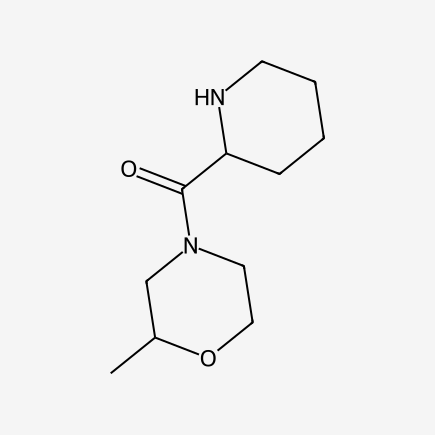 CC1CN(C(=O)C2CCCCN2)CCO1